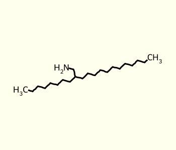 CCCCCCCCCCCCC(CN)CCCCCCCC